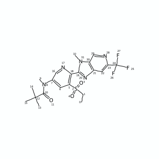 CCS(=O)(=O)c1cc(N(C)C(=O)C(C)(C)C)cnc1-c1nc2cc(C(F)(F)F)ncc2n1C